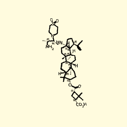 C=C(C)[C@@H]1CC[C@]2(NC[C@H]([C@@H](C)N)N3CCS(=O)(=O)CC3)CC[C@]3(C)[C@H](CC[C@@H]4[C@@]5(C)CC[C@H](OC(=O)[C@H]6C[C@@H](C(=O)O)C6(C)C)C(C)(C)[C@@H]5CC[C@]43C)[C@@H]12